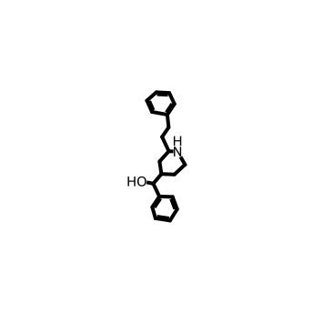 OC(c1ccccc1)C1CCNC(CCc2ccccc2)C1